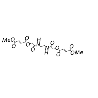 COC(=O)/C=C/C(=O)OCC(=O)NCCNC(=O)COC(=O)/C=C/C(=O)OC